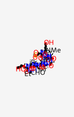 C/C=C/C[C@@H](C)[C@@H](O)[C@@H](C(=O)N[C@H](C=O)CC)N(C)C(=O)[C@H](C(C)C)N(C)C(=O)[C@H](CC(C)C)N(C)C(=O)[C@H](CC(C)C)N(C)C(=O)[C@@H](C)NC(=O)[C@H](C)NC(=O)[C@H](CC(C)C)N(C)C(=O)[C@@H](NC(=O)[C@H]([C@H](C)CS(C)(=O)=O)N(C)C(=O)[C@@H](CCCO)NC)C(C)C